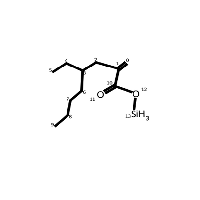 C=C(CC(CC)CCCC)C(=O)O[SiH3]